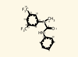 CN(C(=O)Nc1ccccc1)c1cc(C(F)(F)F)cc(C(F)(F)F)c1